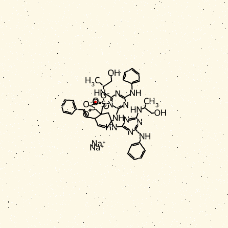 CC(CO)Nc1nc(Nc2ccccc2)nc(NC2(Nc3nc(Nc4ccccc4)nc(NC(C)CO)n3)C=CC(C=Cc3ccccc3)C(S(=O)(=O)[O-])(S(=O)(=O)[O-])C2)n1.[Na+].[Na+]